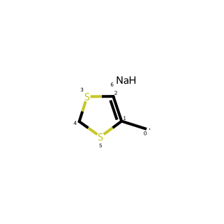 [CH2]C1=CSCS1.[NaH]